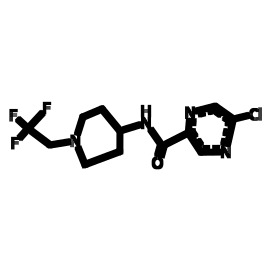 O=C(NC1CCN(CC(F)(F)F)CC1)c1cnc(Cl)cn1